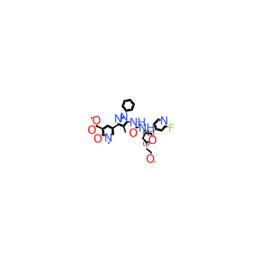 COCC[C@@H]1C[C@@H](NC(=O)Nc2c(C)c(-c3cc(C(=O)OC)c(=O)n(C)c3)nn2-c2ccccc2)[C@H](c2ccnc(F)c2)O1